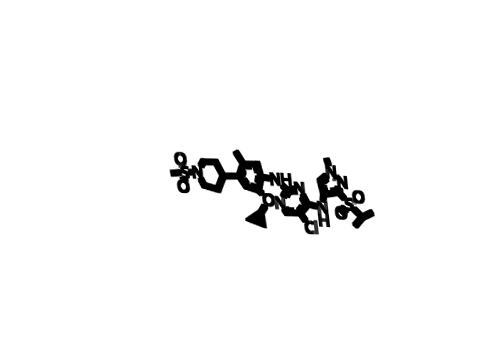 Cc1cc(Nc2ncc(Cl)c(Nc3cn(C)nc3S(=O)(=O)C(C)C)n2)c(OC2CC2)cc1C1CCN(S(C)(=O)=O)CC1